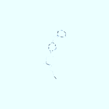 C=CCON=C(C)COc1ccc(Oc2ccccc2)cc1